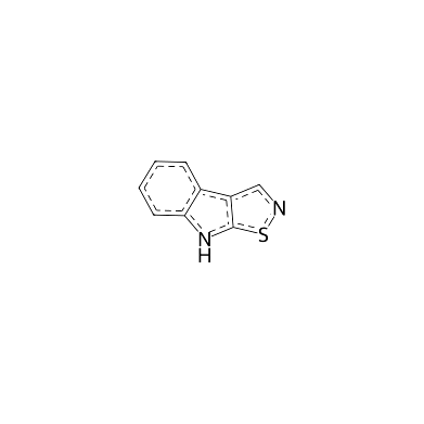 c1ccc2c(c1)[nH]c1sncc12